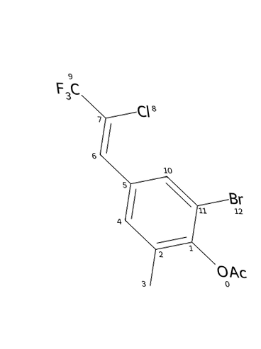 CC(=O)Oc1c(C)cc(/C=C(\Cl)C(F)(F)F)cc1Br